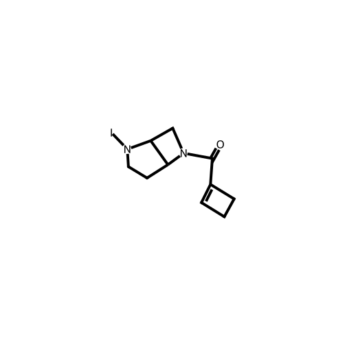 O=C(C1=CCC1)N1CC2C1CCN2I